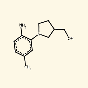 Cc1ccc(N)c(N2CCC(CO)C2)c1